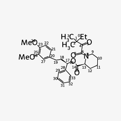 CCC(C)(C)C(=O)C(=O)N1CCCC[C@H]1C(=O)O[C@H](CCc1ccc(OC)c(OC)c1)c1ccccc1